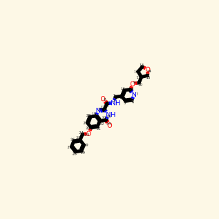 O=C(NCc1ccnc(OCC2CCOC2)c1)c1nc2ccc(OCc3ccccc3)cc2c(=O)[nH]1